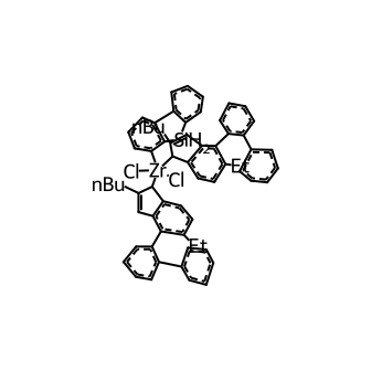 CCCCC1=Cc2c(ccc(CC)c2-c2ccccc2-c2ccccc2)[CH]1[Zr]([Cl])([Cl])([c]1cccc2c1[SiH2]c1ccccc1-2)[CH]1C(CCCC)=Cc2c1ccc(CC)c2-c1ccccc1-c1ccccc1